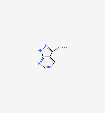 CCCCCc1n[nH]c2ncncc12